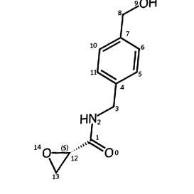 O=C(NCc1ccc(CO)cc1)[C@@H]1CO1